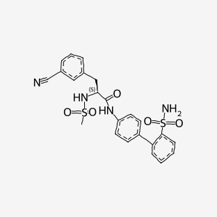 CS(=O)(=O)N[C@@H](Cc1cccc(C#N)c1)C(=O)Nc1ccc(-c2ccccc2S(N)(=O)=O)cc1